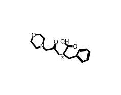 O=C(C[C@@H](Cc1ccccc1)C(=O)O)CN1CCOCC1